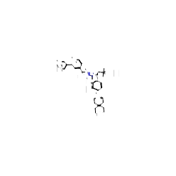 Cn1cc(-c2cc(C(=O)/N=c3\[nH]c4cc(N5CCC6(CCOCC6)CC5)ccc4n3CC(C)(C)O)ccn2)cn1